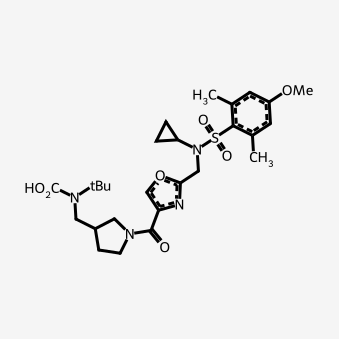 COc1cc(C)c(S(=O)(=O)N(Cc2nc(C(=O)N3CCC(CN(C(=O)O)C(C)(C)C)C3)co2)C2CC2)c(C)c1